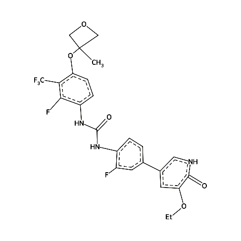 CCOc1cc(-c2ccc(NC(=O)Nc3ccc(OC4(C)COC4)c(C(F)(F)F)c3F)c(F)c2)c[nH]c1=O